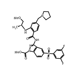 COC[C@H](C)Nc1cc(CN2CCCC2)ccc1C(=O)Nc1nn(C(=O)OC)c2ccc(S(=O)(=O)c3cc(F)cc(F)c3)cc12